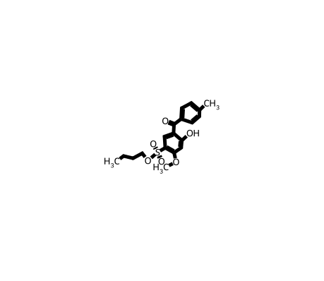 CCCCOS(=O)(=O)c1cc(C(=O)c2ccc(C)cc2)c(O)cc1OC